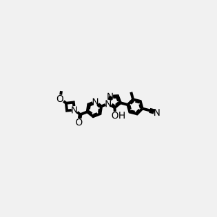 COC1CN(C(=O)c2ccc(-n3ncc(-c4ccc(C#N)cc4C)c3O)nc2)C1